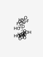 C[C@H](OP(=O)(O)OP(=O)(O)OP(=O)(O)O)[C@H]1O[C@@H](n2cc(F)c(=O)[nH]c2=O)[C@@](Cl)(CF)C1O